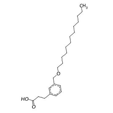 CCCCCCCCCCCCCOCc1cccc(CCC(=O)O)c1